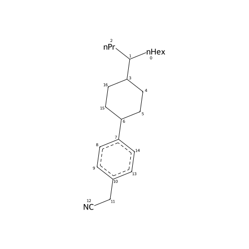 CCCCCCC(CCC)C1CCC(c2ccc(CC#N)cc2)CC1